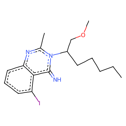 CCCCCC(COC)n1c(C)nc2cccc(I)c2c1=N